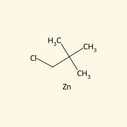 CC(C)(C)CCl.[Zn]